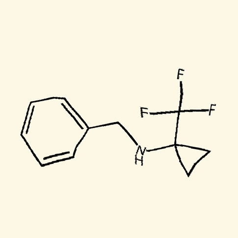 FC(F)(F)C1(NCc2ccccc2)CC1